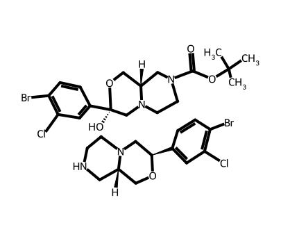 CC(C)(C)OC(=O)N1CCN2C[C@@](O)(c3ccc(Br)c(Cl)c3)OC[C@@H]2C1.Clc1cc([C@@H]2CN3CCNC[C@H]3CO2)ccc1Br